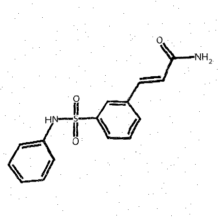 NC(=O)C=Cc1cccc(S(=O)(=O)Nc2ccccc2)c1